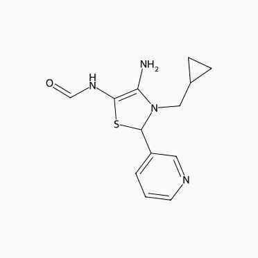 NC1=C(NC=O)SC(c2cccnc2)N1CC1CC1